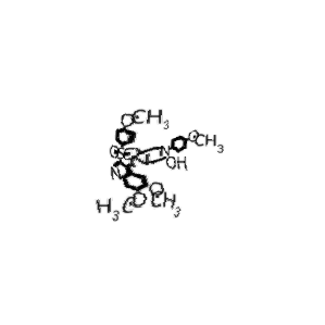 COc1ccc(N2CCN(c3c(S(=O)(=O)c4ccc(OC)cc4)cnc4cc(OC)c(OC)cc34)CC2O)cc1